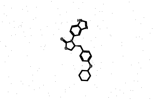 O=C1OC[C@H](Cc2ccc(OC3CCCCC3)cc2)N1c1ccc2[nH]cnc2c1